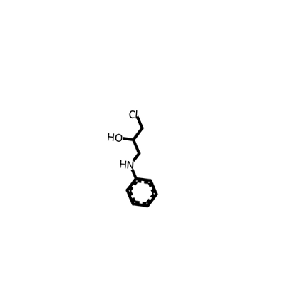 OC(CCl)CNc1ccccc1